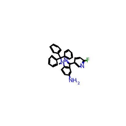 C[N+]1(C(c2ccccc2)(c2ccccc2)c2ccccc2)N=C(c2ccc(F)nc2)c2cc(N)ccc21